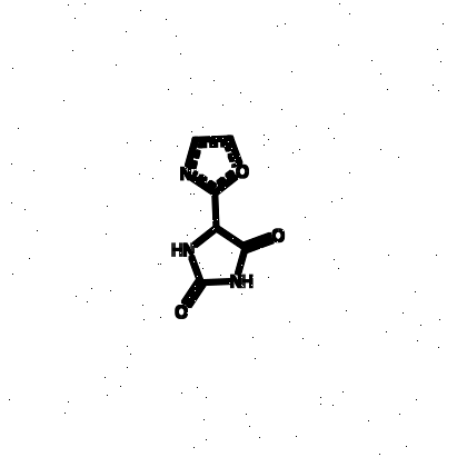 O=C1NC(=O)C(c2ncco2)N1